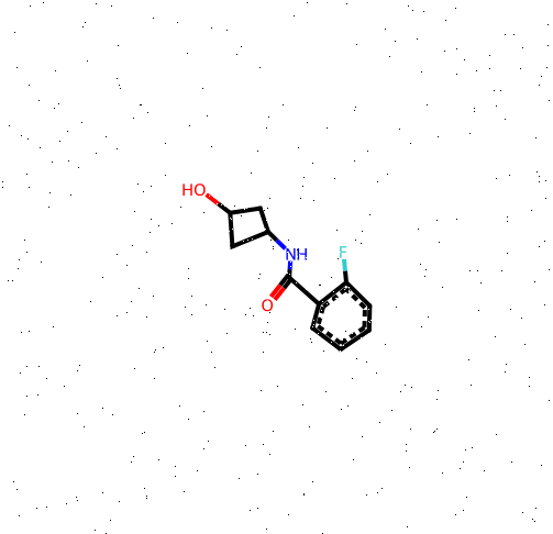 O=C(NC1CC(O)C1)c1ccccc1F